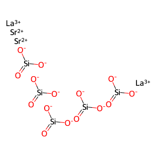 O=[Si]([O-])[O-].O=[Si]([O-])[O-].O=[Si]([O-])[O-].O=[Si]([O-])[O-].O=[Si]([O-])[O-].[La+3].[La+3].[Sr+2].[Sr+2]